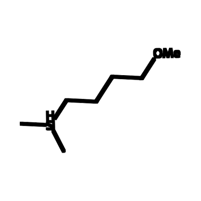 COCCCC[SiH](C)C